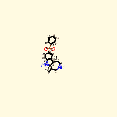 CC1CNCC[C@@H]2c3cc(S(=O)(=O)c4ccccc4)ccc3N[C@H]12